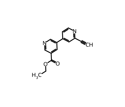 C#Cc1cc(-c2cncc(C(=O)OCC)c2)ccn1